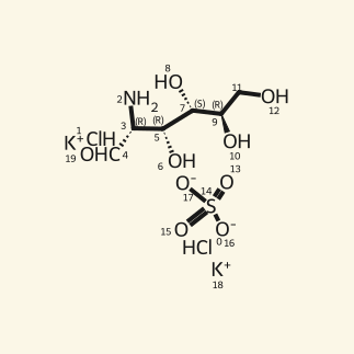 Cl.Cl.N[C@@H](C=O)[C@@H](O)[C@H](O)[C@H](O)CO.O=S(=O)([O-])[O-].[K+].[K+]